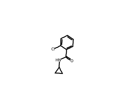 O=C(NC1CC1)c1ccccc1Cl